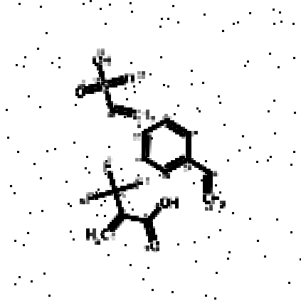 C=C(C(=O)O)C(F)(F)F.C=CS(=O)(=O)O.C=Cc1ccccc1